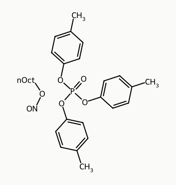 CCCCCCCCON=O.Cc1ccc(OP(=O)(Oc2ccc(C)cc2)Oc2ccc(C)cc2)cc1